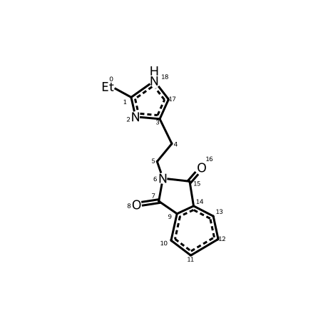 CCc1nc(CCN2C(=O)c3ccccc3C2=O)c[nH]1